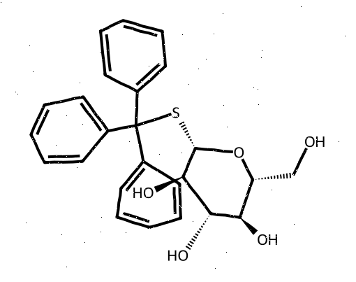 OC[C@H]1O[C@@H](SC(c2ccccc2)(c2ccccc2)c2ccccc2)[C@H](O)[C@@H](O)[C@@H]1O